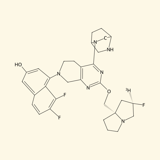 [2H][C@]1(F)CN2CCC[C@@]2(COc2nc3c(c(N4CC5CCC4CN5)n2)CCN(c2cc(O)cc4ccc(F)c(F)c24)C3)C1